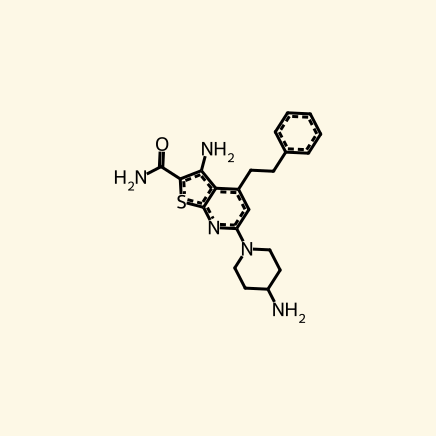 NC(=O)c1sc2nc(N3CCC(N)CC3)cc(CCc3ccccc3)c2c1N